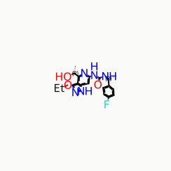 CCOc1n[nH]c2cc(NC(=O)N[C@H](C)c3ccc(F)cc3)nc([C@@H](C)O)c12